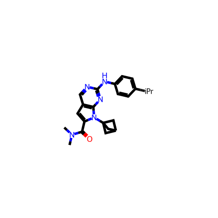 CC(C)c1ccc(Nc2ncc3cc(C(=O)N(C)C)n(C45CC(C4)C5)c3n2)cc1